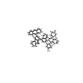 Cc1ccc(-c2c3c(c(-c4ccc(C)cc4)c4ccccc24)-c2ccc(-c4cc(-c5c6ccccc6cc6ccccc56)cc5c4sc4ccccc45)c4cccc-3c24)cc1